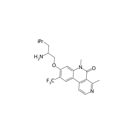 Cc1nccc2c1c(=O)n(C)c1cc(OCC(N)CC(C)C)c(C(F)(F)F)cc21